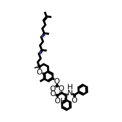 CC(C)=CCC/C(C)=C/CC/C(C)=C/CC[C@]1(C)CCc2cc(OC(=O)O[C@@H](C(=O)O)[C@H](NC(=O)c3ccccc3)c3ccccc3)cc(C)c2O1